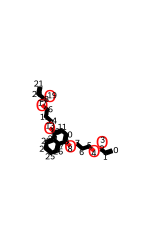 C=CC(=O)OCCCOc1ccc(OCCCOC(=O)C=C)c2ccccc12